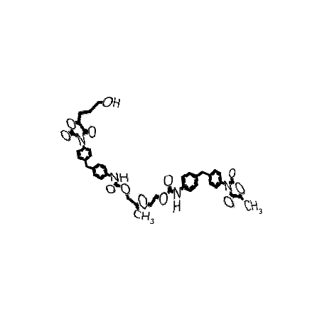 CC(COC(=O)Nc1ccc(Cc2ccc(N3C(=O)OC(CCCO)C3=O)cc2)cc1)OCCOC(=O)Nc1ccc(Cc2ccc(N3C(=O)OC(C)C3=O)cc2)cc1